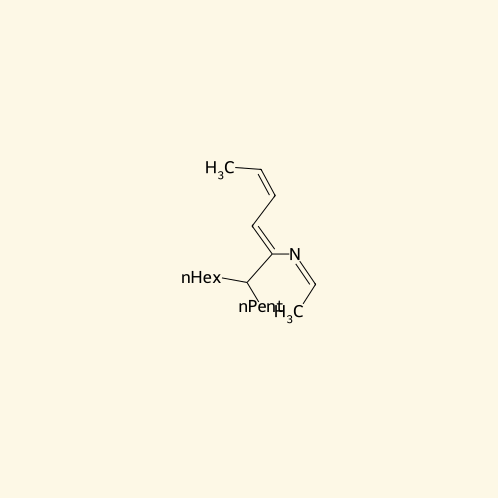 C\C=C/C=C(\N=C/C)C(CCCCC)CCCCCC